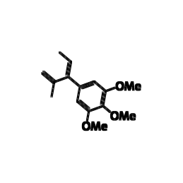 C=C(C)C(=CC)c1cc(OC)c(OC)c(OC)c1